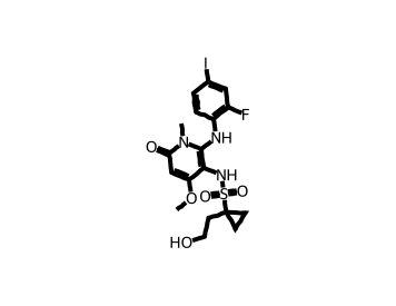 COc1cc(=O)n(C)c(Nc2ccc(I)cc2F)c1NS(=O)(=O)C1(CCO)CC1